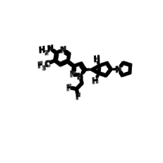 Nc1ncc(-c2cc([C@H]3[C@@H]4C[C@H](N5CCCC5)C[C@@H]43)n(CC(F)F)n2)cc1C(F)(F)F